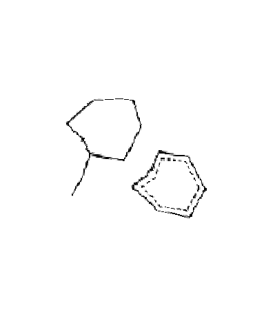 CC1CCCCC1.c1ccccc1